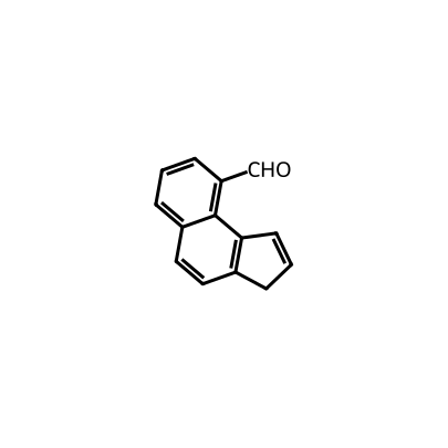 O=Cc1cccc2ccc3c(c12)C=CC3